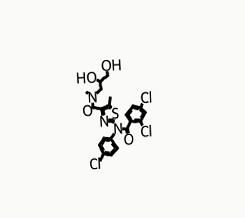 Cc1sc(N(C(=O)c2ccc(Cl)cc2Cl)c2ccc(Cl)cc2)nc1C(=O)N(C)CC(O)CO